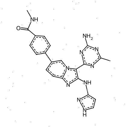 CNC(=O)c1ccc(-c2ccc3nc(Nc4cc[nH]n4)c(-c4nc(C)nc(N)n4)n3c2)cc1